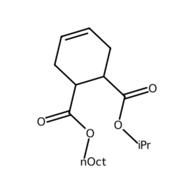 CCCCCCCCOC(=O)C1CC=CCC1C(=O)OC(C)C